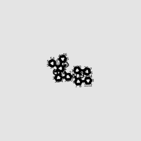 CC1C=C(N(c2cccc(-c3ccccc3)c2)c2cccc3c2oc2ccccc23)C=CC1C1C=CC=C2Oc3c(cc4oc5ccccc5c4c3-c3ccccc3)C21